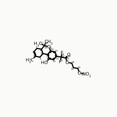 CC1=CCC2C(C1)c1c(O)cc(C(F)(F)C(=O)OCCCO[N+](=O)[O-])cc1OC2(C)C